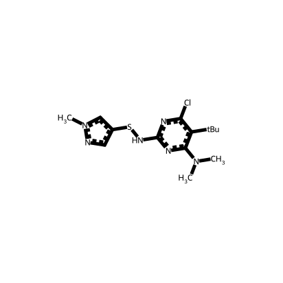 CN(C)c1nc(NSc2cnn(C)c2)nc(Cl)c1C(C)(C)C